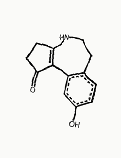 O=C1CCC2=C1c1cc(O)ccc1CCN2